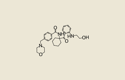 O=C(NC1(C(=O)c2ccccc2NCCO)CCCCC1)c1ccc(CN2CCOCC2)cc1